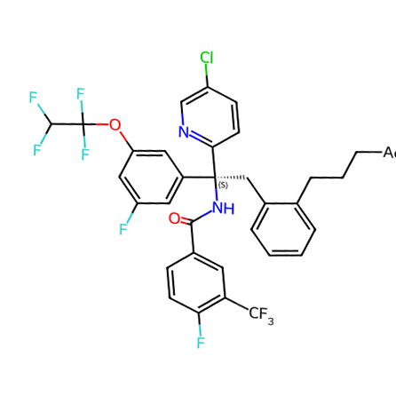 CC(=O)CCCc1ccccc1C[C@](NC(=O)c1ccc(F)c(C(F)(F)F)c1)(c1cc(F)cc(OC(F)(F)C(F)F)c1)c1ccc(Cl)cn1